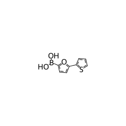 OB(O)c1ccc(-c2cccs2)o1